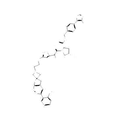 Cc1ncsc1-c1ccc(CNC(=O)[C@@H]2C[C@@H](O)CN2C(=O)C(c2cc(OCCN3CC4(Cc5cc(-c6ccccc6O)nnc5N4)C3)no2)C(C)C)cc1